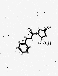 O=C(O)[C@@H]1CC(=S)CN1C(=O)CCc1ccccc1